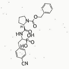 N#Cc1ccc(CC(NC(=O)[C@H]2CCCN2C(=O)OCc2ccccc2)P(=O)(O)O)cc1